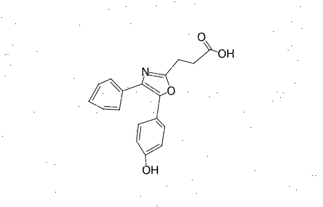 O=C(O)CCc1nc(-c2ccccc2)c(-c2ccc(O)cc2)o1